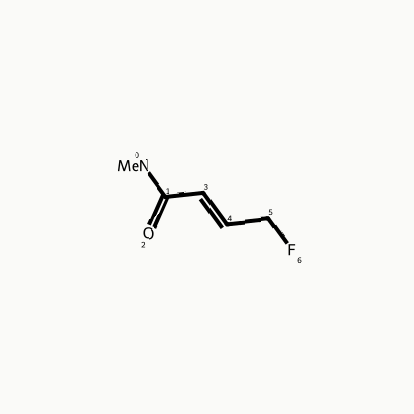 CNC(=O)/C=C/CF